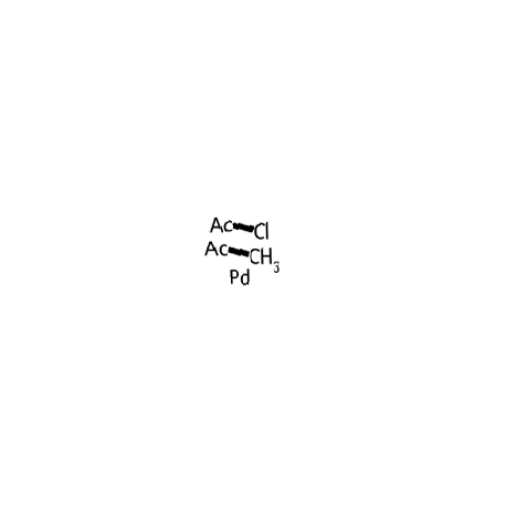 CC(=O)Cl.CC(C)=O.[Pd]